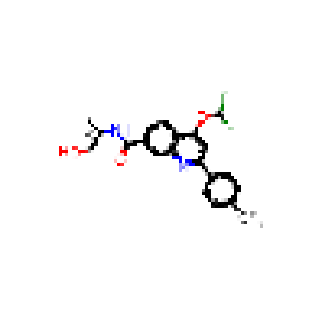 C[C@H](CO)NC(=O)c1ccc2c(OC(F)F)cc(-c3ccc(C(F)(F)F)cc3)nc2c1